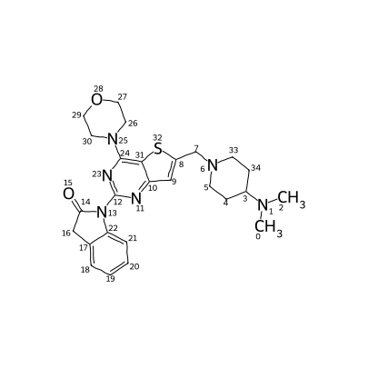 CN(C)C1CCN(Cc2cc3nc(N4C(=O)Cc5ccccc54)nc(N4CCOCC4)c3s2)CC1